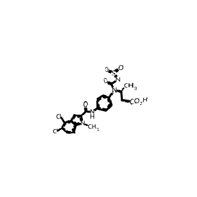 C[C@@H](CC(=O)O)N(C(=O)N=S(=O)=O)c1ccc(NC(=O)c2cc3c(Cl)c(Cl)ccc3n2C)cc1